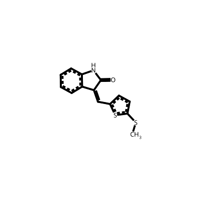 CSc1ccc(C=C2C(=O)Nc3ccccc32)s1